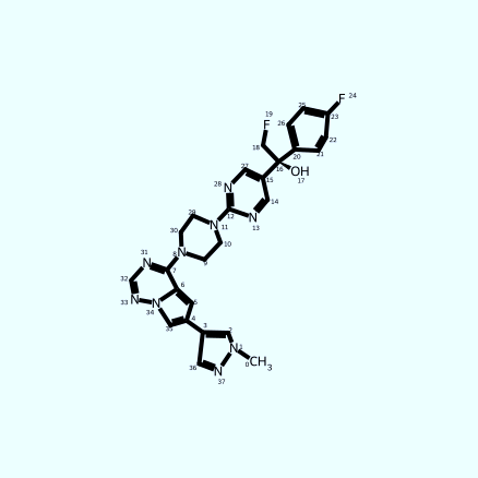 Cn1cc(-c2cc3c(N4CCN(c5ncc([C@](O)(CF)c6ccc(F)cc6)cn5)CC4)ncnn3c2)cn1